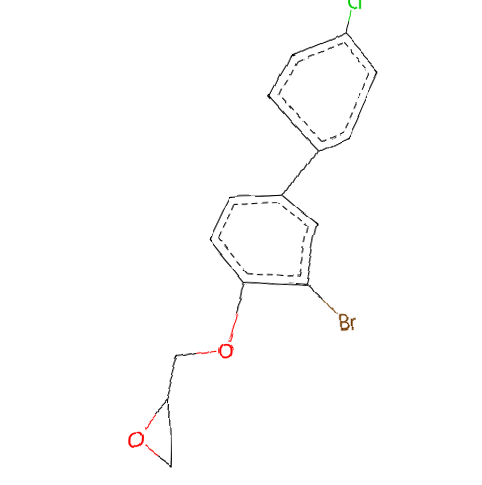 Clc1ccc(-c2ccc(OCC3CO3)c(Br)c2)cc1